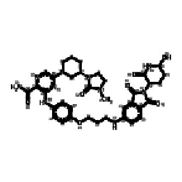 CN1CCN([C@@H]2CCCN(c3cnc(C(N)=O)c(Nc4ccc(OCCCNc5ccc6c(c5)C(=O)N(C5CCC(O)NC5=O)C6=O)cc4)n3)C2)C1=O